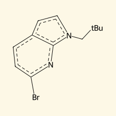 CC(C)(C)Cn1ccc2ccc(Br)nc21